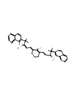 CN1/C(=C/C=C2\CCCC(/C=C/C3=[N+](C)c4c(ccc5ccccc45)C3(C)C)=C2Cl)C(C)(C)c2ccc3ccccc3c21